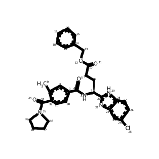 Cc1cc(C(=O)N[C@@H](CCC(=O)OCc2ccccc2)c2nc3cc(Cl)ccc3[nH]2)ccc1C(=O)N1CCCC1